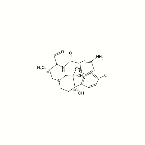 C[C@@H](CN1CC[C@](O)(c2ccc(Cl)cc2)C(C)(C)C1)C(C=O)NC(=O)c1cccc(N)c1